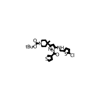 CC(C)(C)OC(=O)N1CCC(C)(c2cc(NCc3ccc(Cl)s3)n(C(=O)c3ccsc3)n2)CC1